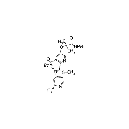 CCS(=O)(=O)c1cc(OC(C)(C)C(=O)NC)cnc1-c1nc2cc(C(F)(F)F)ncc2n1C